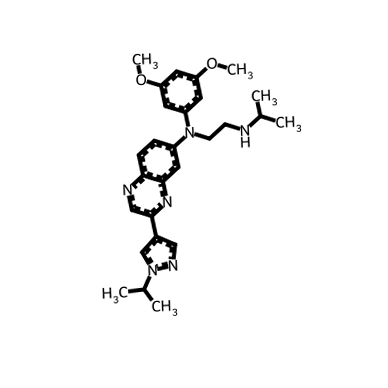 COc1cc(OC)cc(N(CCNC(C)C)c2ccc3ncc(-c4cnn(C(C)C)c4)nc3c2)c1